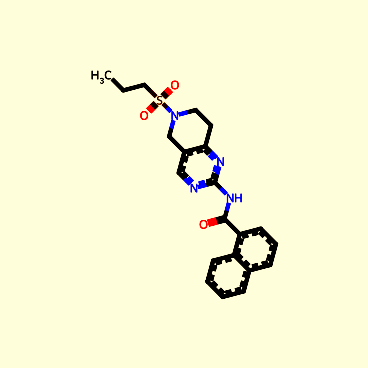 CCCS(=O)(=O)N1CCc2nc(NC(=O)c3cccc4ccccc34)ncc2C1